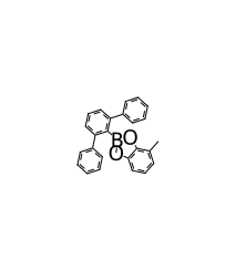 Cc1cccc2c1OB(c1c(-c3ccccc3)cccc1-c1ccccc1)O2